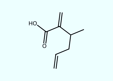 C=CCC(C)C(=C)C(=O)O